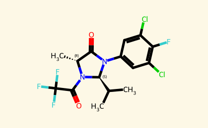 CC(C)[C@@H]1N(c2cc(Cl)c(F)c(Cl)c2)C(=O)[C@@H](C)N1C(=O)C(F)(F)F